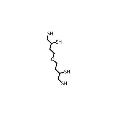 SCC(S)CCOCCC(S)CS